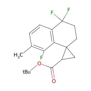 Cc1ccc2c(c1F)C1(CCC2(F)F)CC1C(=O)OC(C)(C)C